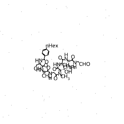 CCCCCCc1ccc(C(=O)N[C@H](CO)C(=O)N[C@H](C)C(=O)NCC(=O)N(C)[C@H](C(=O)N[C@@H](C)C(=O)N[C@@H](CC(C)C)C(=O)NCC=O)C(C)O)cc1